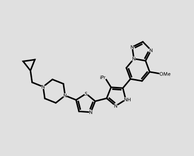 COc1cc(-c2[nH]nc(-c3ncc(N4CCN(CC5CC5)CC4)s3)c2C(C)C)cn2ncnc12